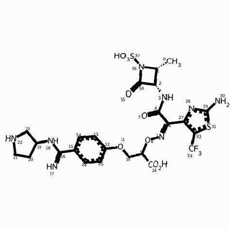 C[C@@H]1[C@H](NC(=O)C(=NOC(COc2ccc(C(=N)NC3CCNC3)cc2)C(=O)O)c2nc(N)sc2C(F)(F)F)C(=O)N1S(=O)(=O)O